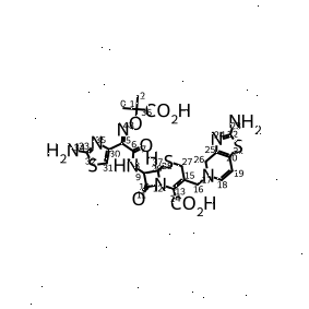 CC(C)(O/N=C(\C(=O)NC1C(=O)N2C(C(=O)O)=C(CN3C=Cc4sc(N)nc4C3)CS[C@H]12)c1csc(N)n1)C(=O)O